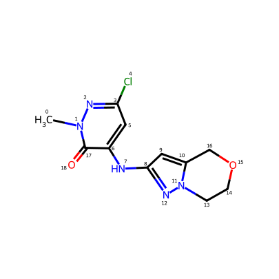 Cn1nc(Cl)cc(Nc2cc3n(n2)CCOC3)c1=O